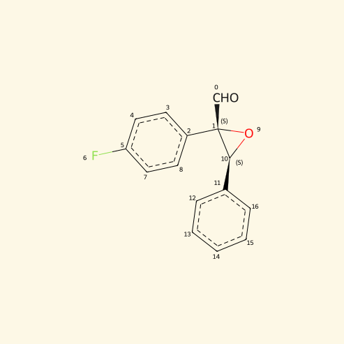 O=C[C@@]1(c2ccc(F)cc2)O[C@H]1c1ccccc1